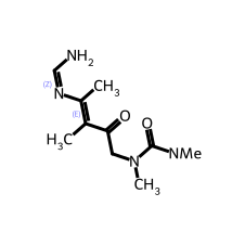 CNC(=O)N(C)CC(=O)/C(C)=C(C)/N=C\N